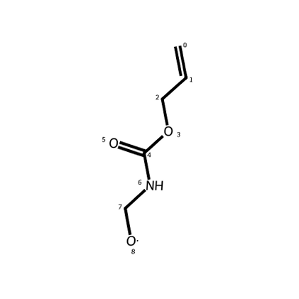 C=CCOC(=O)NC[O]